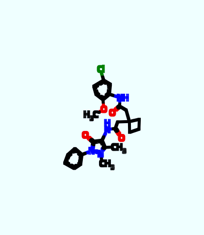 COc1ccc(Cl)cc1NC(=O)CC1(CC(=O)Nc2c(C)n(C)n(-c3ccccc3)c2=O)CCC1